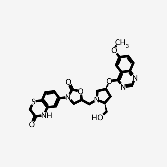 COc1ccc2ncnc(O[C@H]3C[C@@H](CO)N(CC4CN(c5ccc6c(c5)NC(=O)CS6)C(=O)O4)C3)c2c1